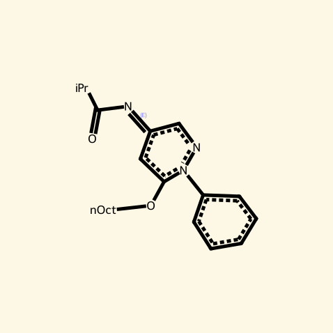 CCCCCCCCOc1c/c(=N\C(=O)C(C)C)cnn1-c1ccccc1